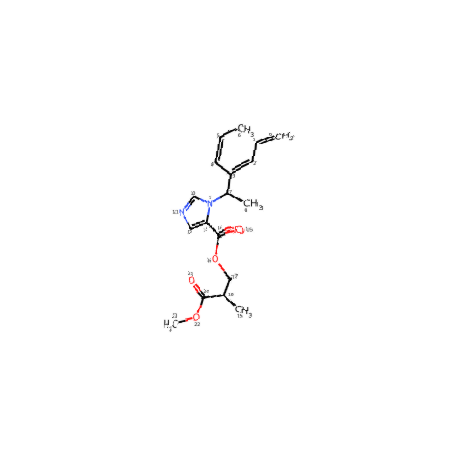 C=C/C=C(\C=C/C)C(C)n1cncc1C(=O)OCC(C)C(=O)OC